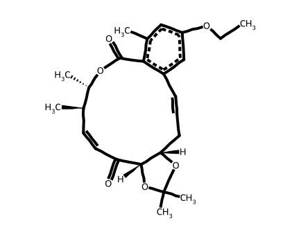 CCOc1cc(C)c2c(c1)/C=C/C[C@@H]1OC(C)(C)O[C@@H]1C(=O)/C=C\[C@@H](C)[C@H](C)OC2=O